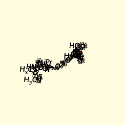 Cc1ncsc1-c1ccc([C@H](C)NC(=O)[C@@H]2CCCN2C(=O)[C@@H](c2cc(C#CCOCC34CC(CO[C@H]5C[C@H](Oc6cc(N7C8CCC7CN(c7cc(-c9ccccc9O)nnc7N)C8)ccn6)C5)(C3)C4)no2)C(C)C)cc1